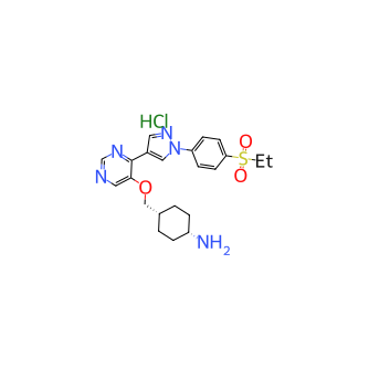 CCS(=O)(=O)c1ccc(-n2cc(-c3ncncc3OC[C@H]3CC[C@@H](N)CC3)cn2)cc1.Cl